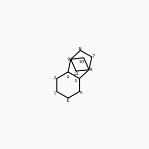 C1CCC2C(C1)C13CCC2(C1)C3